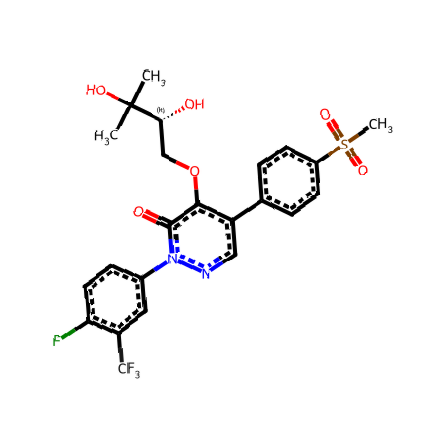 CC(C)(O)[C@H](O)COc1c(-c2ccc(S(C)(=O)=O)cc2)cnn(-c2ccc(F)c(C(F)(F)F)c2)c1=O